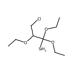 CCOC(CCl)C([SiH3])(OCC)OCC